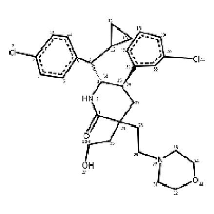 O=C1N[C@H](C(c2ccc(Cl)cc2)C2CC2)[C@@H](c2cccc(Cl)c2)CC1(CCO)CCN1CCOCC1